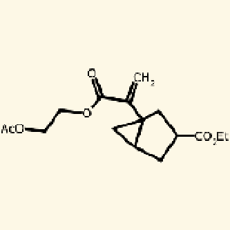 C=C(C(=O)OCCOC(C)=O)C12CC(C(=O)OCC)CC1C2